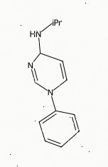 CC(C)NC1C=CN(c2ccccc2)C=N1